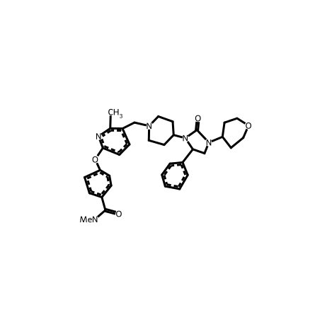 CNC(=O)c1ccc(Oc2ccc(CN3CCC(N4C(=O)N(C5CCOCC5)CC4c4ccccc4)CC3)c(C)n2)cc1